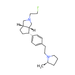 C[C@@H]1CCCN1CCc1ccc([C@@H]2CC[C@@H]3CN(CCF)C[C@@H]32)cc1